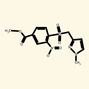 COC(=O)c1ccc(S(=O)(=O)Cc2ccn(C)n2)c([N+](=O)[O-])c1